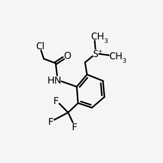 C[S+](C)Cc1cccc(C(F)(F)F)c1NC(=O)CCl